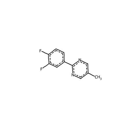 Cc1cnc(-c2ccc(F)c(F)c2)nc1